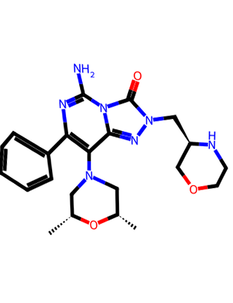 C[C@@H]1CN(c2c(-c3ccccc3)nc(N)n3c(=O)n(C[C@@H]4COCCN4)nc23)C[C@H](C)O1